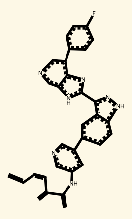 C=C/C=C\C(=C)C(=C)Nc1cncc(-c2ccc3[nH]nc(-c4nc5c(-c6ccc(F)cc6)cncc5[nH]4)c3c2)c1